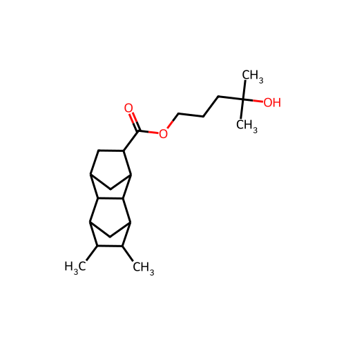 CC1C(C)C2CC1C1C3CC(C(=O)OCCCC(C)(C)O)C(C3)C21